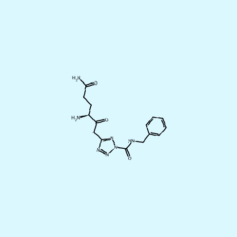 NC(=O)CC[C@H](N)C(=O)[CH]c1nnn(C(=O)NCc2ccccc2)n1